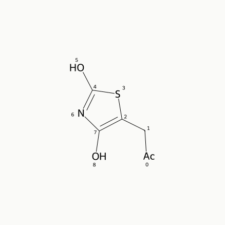 CC(=O)Cc1sc(O)nc1O